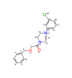 O=C(COCc1ccccc1)N1CCN(c2cccc(Cl)c2)CC1